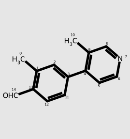 Cc1cc(-c2ccncc2C)ccc1C=O